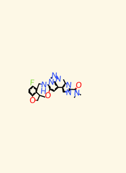 Cc1nc(C(=O)N(C)C)ncc1-c1cc2c(n3cnnc13)NCc1c(F)ccc3c1C(CO3)CO2